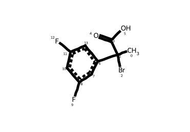 CC(Br)(C(=O)O)c1cc(F)cc(F)c1